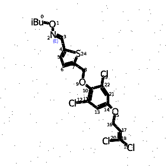 CCC(C)O/N=C/c1ccc(COc2c(Cl)cc(OCC=C(Cl)Cl)cc2Cl)s1